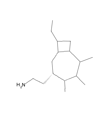 CCC1CC2C(C)C(C)C(C)[C@H](CCN)CC12